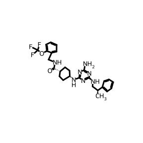 C[C@@H](CNc1nc(N)nc(N[C@H]2CC[C@@H](C(=O)NCc3ccccc3OC(F)(F)F)CC2)n1)c1ccccc1